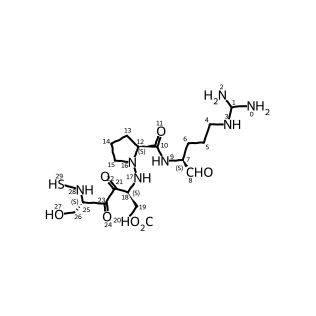 NC(N)NCCC[C@@H](C=O)NC(=O)[C@@H]1CCCN1N[C@@H](CC(=O)O)C(=O)C(=O)[C@H](CO)NS